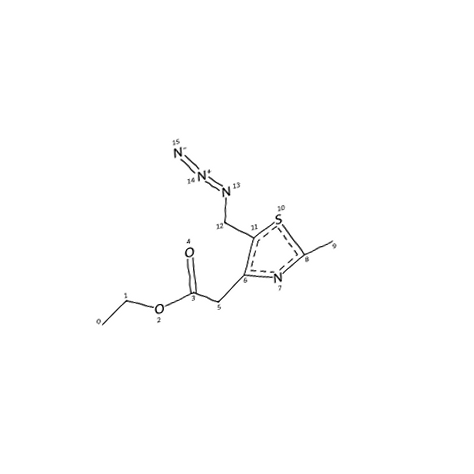 CCOC(=O)Cc1nc(C)sc1CN=[N+]=[N-]